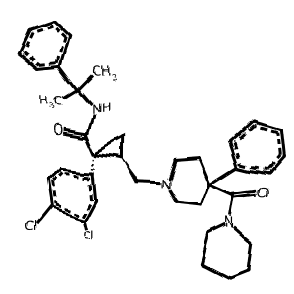 CC(C)(NC(=O)[C@@]1(c2ccc(Cl)c(Cl)c2)C[C@H]1CN1CCC(C(=O)N2CCCCC2)(c2ccccc2)CC1)c1ccccc1